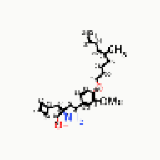 COc1cc(CCC(N)(CO)CC2CCC2)ccc1OCCCCC(C)CCCC(C)C